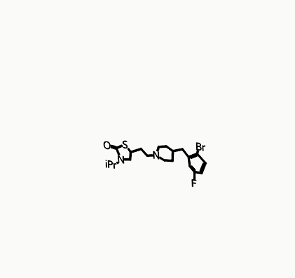 CC(C)N1CC(CCN2CCC(Cc3cc(F)ccc3Br)CC2)SC1=O